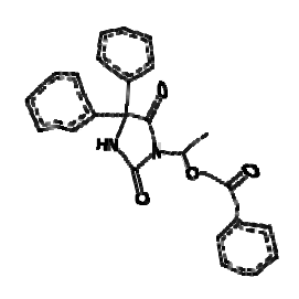 CC(OC(=O)c1ccccc1)N1C(=O)NC(c2ccccc2)(c2ccccc2)C1=O